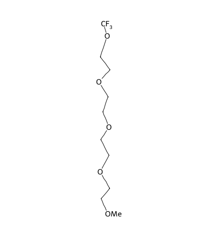 COCCOCCOCCOCCOC(F)(F)F